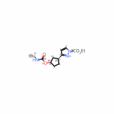 CCOC(=O)n1ccc([C@H]2CC[C@@H](OC(=O)NC(C)(C)C)C2)n1